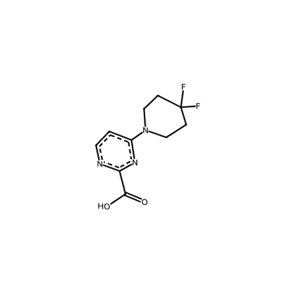 O=C(O)c1nccc(N2CCC(F)(F)CC2)n1